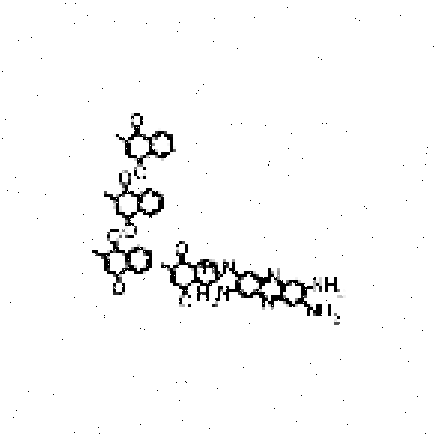 CC1=CC(=O)c2ccccc2C1=O.CC1=CC(=O)c2ccccc2C1=O.CC1=CC(=O)c2ccccc2C1=O.CC1=CC(=O)c2ccccc2C1=O.Nc1cc2nc3cc(N)c(N)cc3nc2cc1N